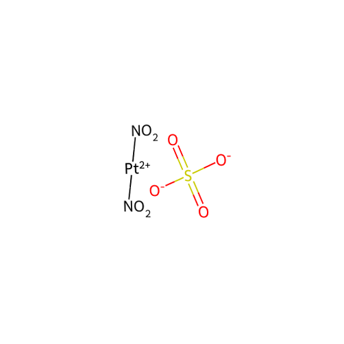 O=S(=O)([O-])[O-].O=[N+]([O-])[Pt+2][N+](=O)[O-]